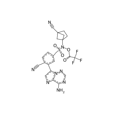 N#Cc1ccc(S(=O)(=O)N(OC(=O)C(F)(F)F)C23CCC(C#N)(C2)C3)cc1-c1cnc2c(N)ncnn12